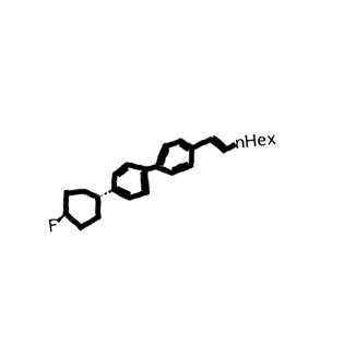 CCCCCCC=Cc1ccc(-c2ccc([C@H]3CC[C@H](F)CC3)cc2)cc1